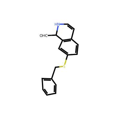 O=CC1NC=Cc2ccc(SCc3ccccc3)cc21